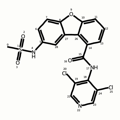 CS(=O)(=O)Nc1ccc2oc3cccc(C(=O)Nc4c(Cl)cncc4Cl)c3c2c1